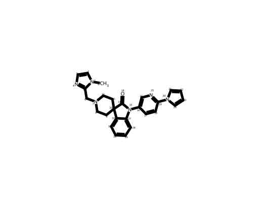 Cn1ccnc1CN1CCC2(CC1)C(=O)N(c1ccc(-n3cccc3)nc1)c1ccccc12